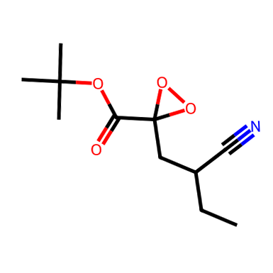 CCC(C#N)CC1(C(=O)OC(C)(C)C)OO1